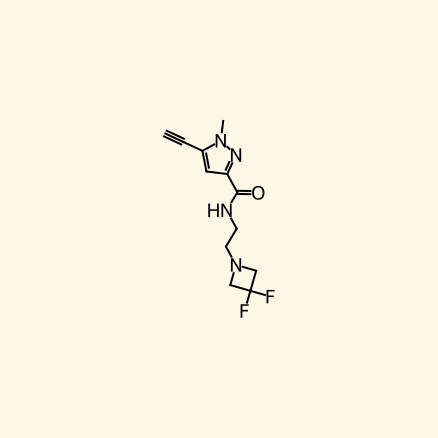 C#Cc1cc(C(=O)NCCN2CC(F)(F)C2)nn1C